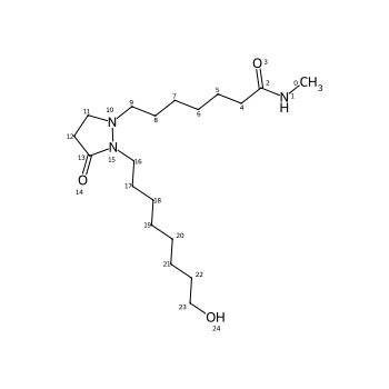 CNC(=O)CCCCCCN1CCC(=O)N1CCCCCCCCO